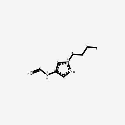 CCCCn1cc(N[C]=O)cn1